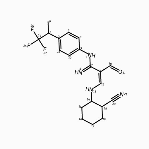 CC(c1ccc(NC(=N)/C(C=O)=C\NC2CCCCC2C#N)cc1)C(F)(F)F